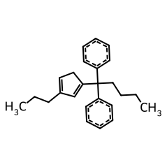 CCCCC(C1=CC(CCC)=CC1)(c1ccccc1)c1ccccc1